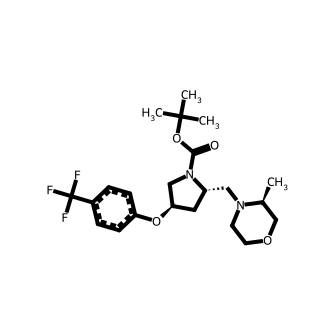 C[C@H]1COCCN1C[C@@H]1C[C@@H](Oc2ccc(C(F)(F)F)cc2)CN1C(=O)OC(C)(C)C